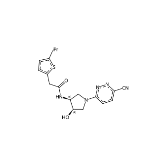 CC(C)c1ccc(CC(=O)N[C@H]2CN(c3ccc(C#N)nn3)C[C@H]2O)s1